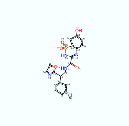 O=C(NCC(c1cccc(Cl)c1)c1ncco1)C1=Nc2ccc(O)cc2S(=O)(=O)N1